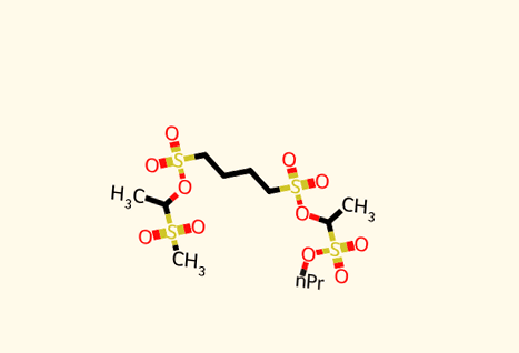 CCCOS(=O)(=O)C(C)OS(=O)(=O)CCCCS(=O)(=O)OC(C)S(C)(=O)=O